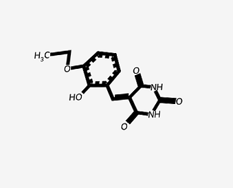 CCOc1cccc(C=C2C(=O)NC(=O)NC2=O)c1O